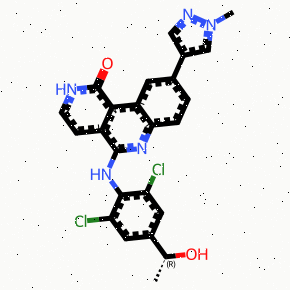 C[C@@H](O)c1cc(Cl)c(Nc2nc3ccc(-c4cnn(C)c4)cc3c3c(=O)[nH]ccc23)c(Cl)c1